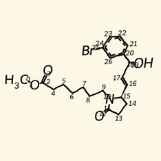 COC(=O)CCCCCCN1C(=O)CC[C@@H]1/C=C/C(O)c1cccc(Br)c1